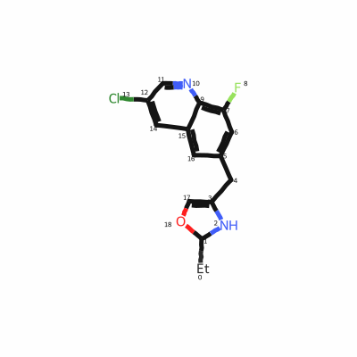 CCC1NC(Cc2cc(F)c3ncc(Cl)cc3c2)=CO1